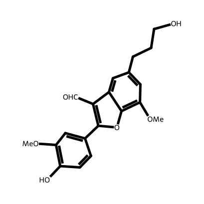 COc1cc(-c2oc3c(OC)cc(CCCO)cc3c2C=O)ccc1O